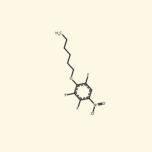 CCCCCCOc1c(F)cc([N+](=O)[O-])c(F)c1F